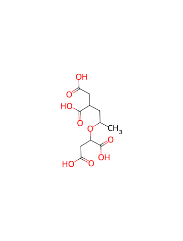 CC(CC(CC(=O)O)C(=O)O)OC(CC(=O)O)C(=O)O